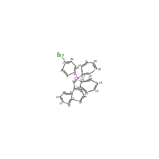 Brc1ccc(P(=Cc2cccc3ccccc23)(c2ccccc2)c2ccccc2)cc1